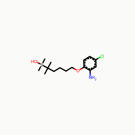 CC(C)(CCCCOc1ccc(Cl)cc1N)[Si](C)(C)O